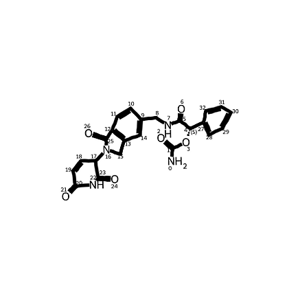 NC(=O)O[C@H](C(=O)NCc1ccc2c(c1)CN(C1C=CC(=O)NC1=O)C2=O)c1ccccc1